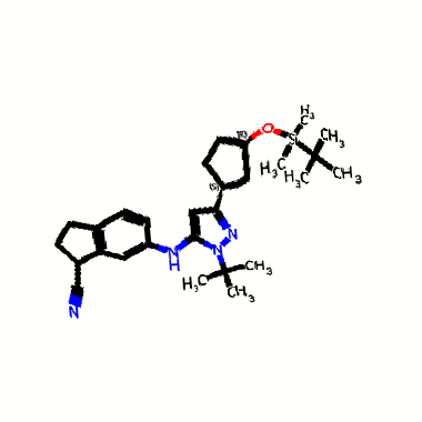 CC(C)(C)n1nc([C@H]2CC[C@@H](O[Si](C)(C)C(C)(C)C)C2)cc1Nc1ccc2c(c1)C(C#N)CC2